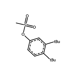 CC(C)(C)c1ccc(OS(C)(=O)=O)cc1C(C)(C)C